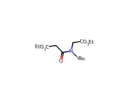 CCOC(=O)CC(=O)N(CC(=O)OCC)C(C)(C)C